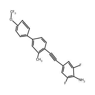 Cc1cc(-c2ccc(OC(F)(F)F)cc2)ccc1C#Cc1cc(F)c(N)c(F)c1